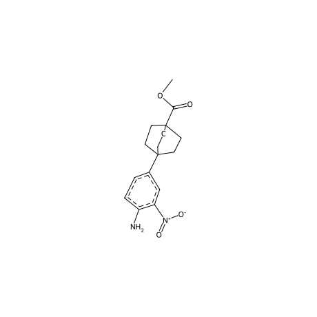 COC(=O)C12CCC(c3ccc(N)c([N+](=O)[O-])c3)(CC1)CC2